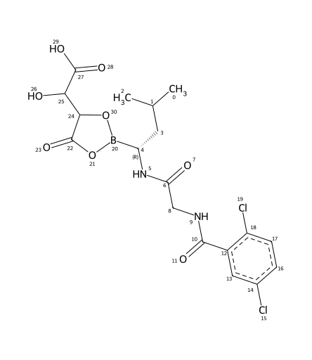 CC(C)C[C@H](NC(=O)CNC(=O)c1cc(Cl)ccc1Cl)B1OC(=O)C(C(O)C(=O)O)O1